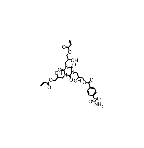 C=CC(=O)OCC(O)Cn1c(=O)n(CC(O)COC(=O)C=C)c(=O)n(CC(O)COC(=O)c2ccc(S(N)(=O)=O)cc2)c1=O